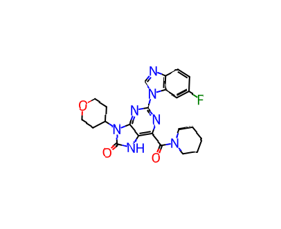 O=C(c1nc(-n2cnc3ccc(F)cc32)nc2c1[nH]c(=O)n2C1CCOCC1)N1CCCCC1